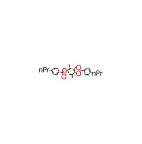 CCCc1ccc(C(=O)Oc2cc(C)c(OC(=O)c3ccc(CCC)cc3)c(C)c2C)cc1